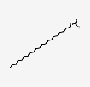 CCCCCCCCCCCCCCCCCCCCCOC(=O)Cl